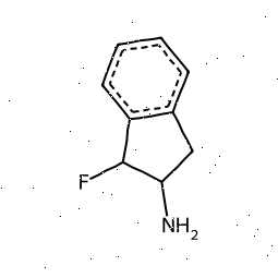 NC1Cc2ccccc2C1F